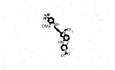 CCC(=O)N1CC[C@H](Nc2cccc3c2cc(C#CCNc2ccc(S(C)(=O)=O)cc2OC)n3CC(F)(F)F)[C@H](F)C1